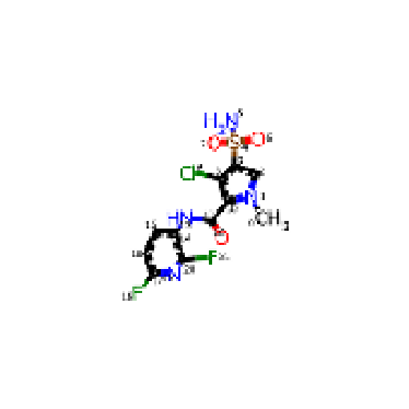 Cn1cc(S(N)(=O)=O)c(Cl)c1C(=O)Nc1ccc(F)nc1F